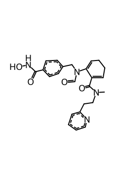 CN(CCc1ccccn1)C(=O)C1=CCCC=C1N(C=O)Cc1ccc(C(=O)NO)cc1